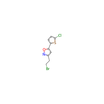 Clc1ccc(-c2cc(CCBr)no2)s1